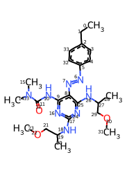 CCc1ccc(N=Nc2c(NC(=O)N(C)C)nc(NC(C)COC)nc2NC(C)COC)cc1